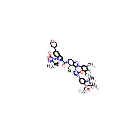 CCP(=O)(CC)c1ccc(-n2ccn(-c3c4c(nn3-c3cc(C)c(F)c(C)c3)CCN(C(=O)c3cc5cc(C6CCOCC6)ccc5n3[C@H]3C[C@]3(C)c3noc(=O)[nH]3)[C@H]4C)c2=O)cc1N(C)C